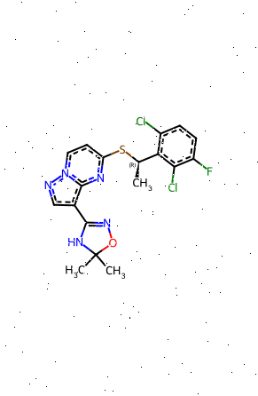 C[C@@H](Sc1ccn2ncc(C3=NOC(C)(C)N3)c2n1)c1c(Cl)ccc(F)c1Cl